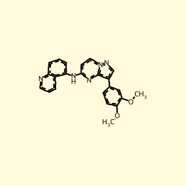 COc1ccc(-c2cnn3ccc(Nc4cccc5ncccc45)nc23)cc1OC